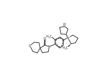 Cc1cc([N+]2([C@H]3CCNC3)CCC[C@H]2C)ccc1N1CCC2(CCOCC2)C1=O